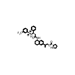 C=C(COC(=O)[C@@H]1CCCN1)c1ccc2c(c1)CCC[C@H]2NC(=O)C[C@@H](NS(=O)(=O)c1cccc(C(F)(F)F)c1)c1ccccc1